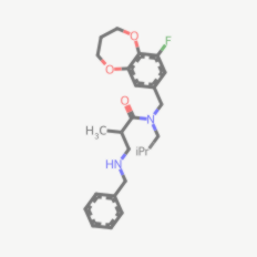 CC(C)CN(Cc1cc(F)c2c(c1)OCCCO2)C(=O)C(C)CNCc1ccccc1